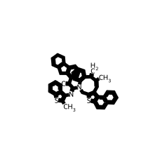 C=C1/C(C)=C\c2c(sc3ccc4ccccc4c23)CN(/C(=N/c2c(C)sc3ccccc23)C(=C)c2cccc3c2CC2=C3CCC=C2)c2ccccc21